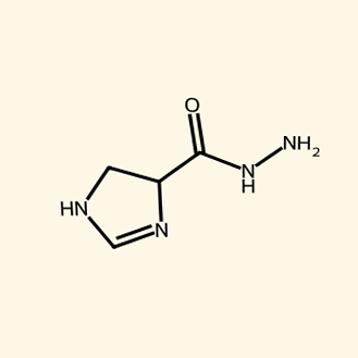 NNC(=O)C1CNC=N1